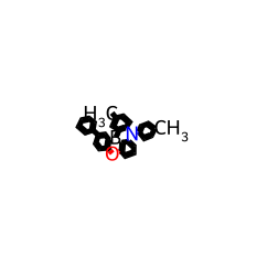 Cc1ccc(N2c3ccc(C)cc3B3c4cc(-c5ccccc5)ccc4Oc4cccc2c43)cc1